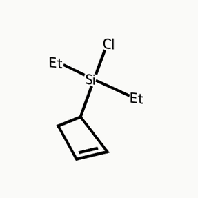 CC[Si](Cl)(CC)C1C=CC1